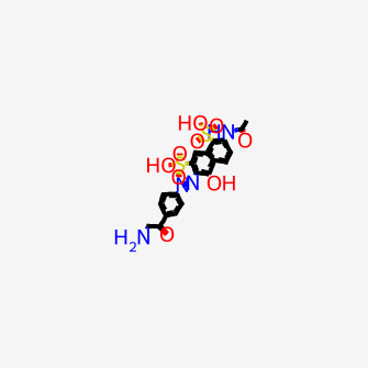 CC(=O)Nc1ccc2c(O)c(N=Nc3ccc(C(=O)CN)cc3)c(S(=O)(=O)O)cc2c1S(=O)(=O)O